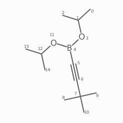 CC(C)OB(C#CC(C)(C)C)OC(C)C